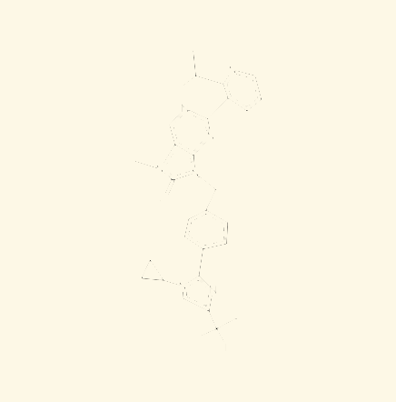 CC(C)c1ncccc1-c1ncc2c(n1)n(Cc1ccc(-c3nc(C(F)(F)F)cn3C3CC3)cc1)c(=O)n2C